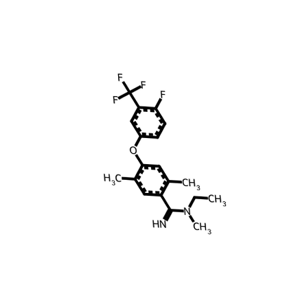 CCN(C)C(=N)c1cc(C)c(Oc2ccc(F)c(C(F)(F)F)c2)cc1C